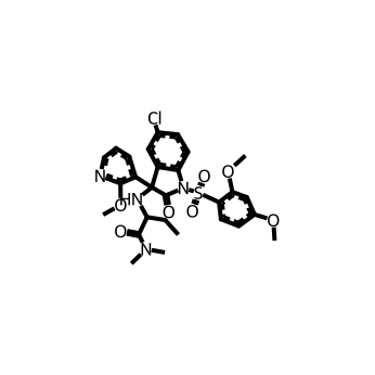 CCC(NC1(c2cccnc2OC)C(=O)N(S(=O)(=O)c2ccc(OC)cc2OC)c2ccc(Cl)cc21)C(=O)N(C)C